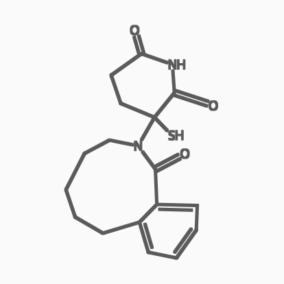 O=C1CCC(S)(N2CCCCCc3ccccc3C2=O)C(=O)N1